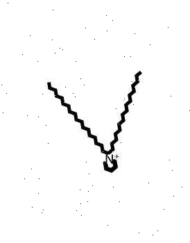 CCCCCCCCCCCCCCCCCCC(CCCCCCCCCCCCCCCCC)[n+]1ccccc1